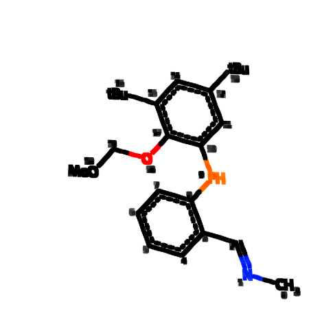 C/N=C/c1ccccc1Pc1cc(C(C)(C)C)cc(C(C)(C)C)c1OCOC